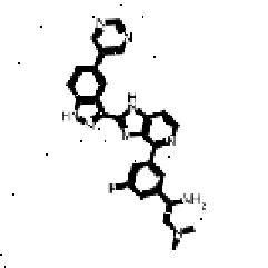 CN(C)CC(N)c1cc(F)cc(-c2nccc3[nH]c(-c4n[nH]c5ccc(-c6cncnc6)cc45)nc23)c1